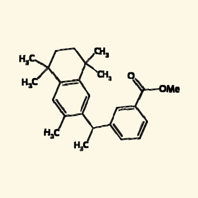 COC(=O)c1cccc(C(C)c2cc3c(cc2C)C(C)(C)CCC3(C)C)c1